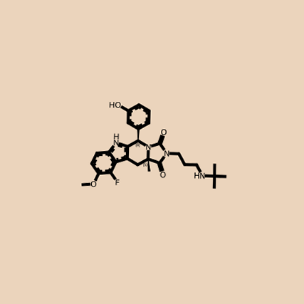 COc1ccc2[nH]c3c(c2c1F)C[C@@]1(C)C(=O)N(CCCNC(C)(C)C)C(=O)N1[C@@H]3c1cccc(O)c1